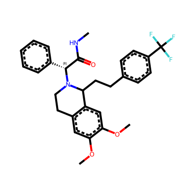 CNC(=O)[C@@H](c1ccccc1)N1CCc2cc(OC)c(OC)cc2C1CCc1ccc(C(F)(F)F)cc1